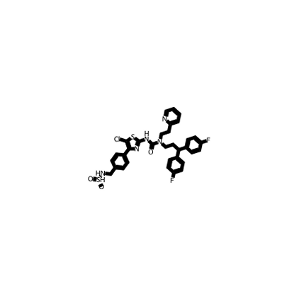 O=C(Nc1nc(-c2ccc(CN[SH](=O)=O)cc2)c(Cl)s1)N(CCc1ccccn1)CCC(c1ccc(F)cc1)c1ccc(F)cc1